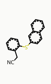 N#CCc1ccccc1Sc1ccc2ccccc2c1